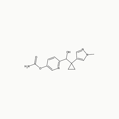 Cn1cc(C2(C(O)c3ccc(OC(N)=O)cn3)CC2)cn1